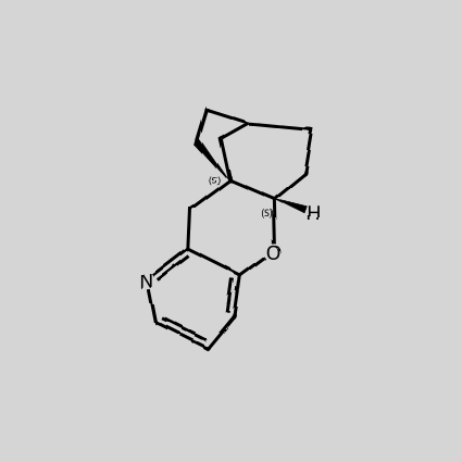 c1cnc2c(c1)O[C@H]1CCC3CC[C@@]1(C2)C3